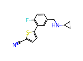 N#Cc1ccc(-c2cc(CNC3CC3)ccc2F)s1